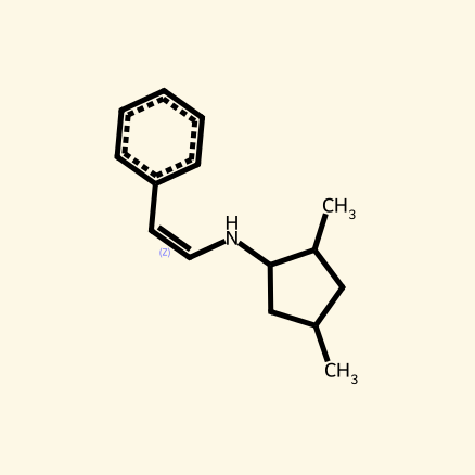 CC1CC(C)C(N/C=C\c2ccccc2)C1